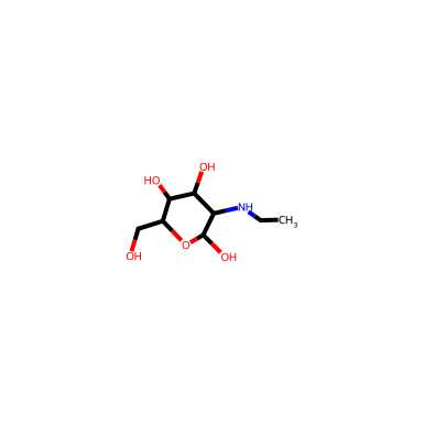 CCNC1C(O)OC(CO)C(O)C1O